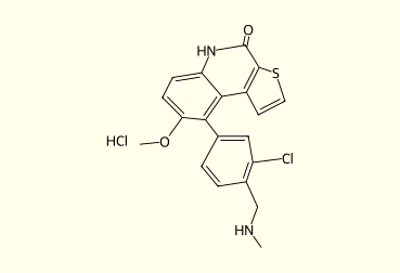 CNCc1ccc(-c2c(OC)ccc3[nH]c(=O)c4sccc4c23)cc1Cl.Cl